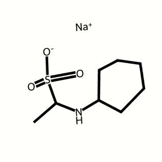 CC(NC1CCCCC1)S(=O)(=O)[O-].[Na+]